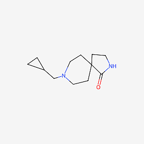 O=C1NCCC12CCN(CC1CC1)CC2